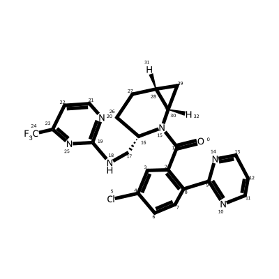 O=C(c1cc(Cl)ccc1-c1ncccn1)N1[C@H](CNc2nccc(C(F)(F)F)n2)CC[C@@H]2C[C@@H]21